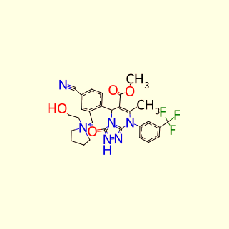 COC(=O)C1=C(C)N(c2cccc(C(F)(F)F)c2)c2n[nH]c(=O)n2C1c1ccc(C#N)cc1C[N+]1(CCO)CCCC1